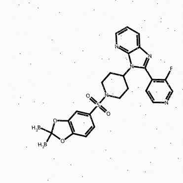 BC1(B)Oc2ccc(S(=O)(=O)N3CCC(n4c(-c5ccncc5F)nc5cccnc54)CC3)cc2O1